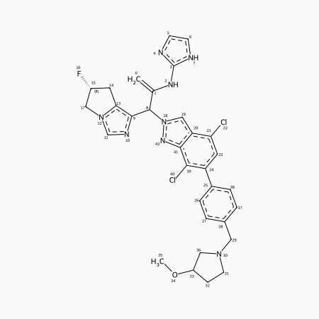 C=C(Nc1ncc[nH]1)C(c1ncn2c1C[C@@H](F)C2)n1cc2c(Cl)cc(-c3ccc(CN4CCC(OC)C4)cc3)c(Cl)c2n1